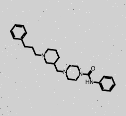 O=C(Nc1ccccc1)N1CCN(CC2CCCN(CCCc3ccccc3)C2)CC1